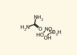 NC(N)=O.O=S(=O)(O)O.O=[N+]([O-])O